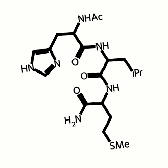 CSCCC(NC(=O)C(CC(C)C)NC(=O)C(Cc1c[nH]cn1)NC(C)=O)C(N)=O